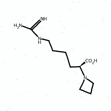 N=C(N)NCCCC[C@@H](C(=O)O)N1CCC1